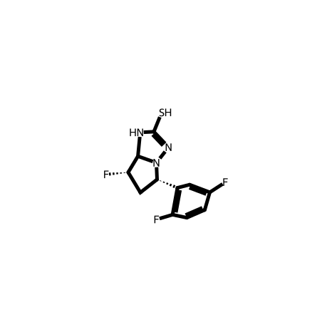 Fc1ccc(F)c([C@@H]2C[C@H](F)C3NC(S)=NN32)c1